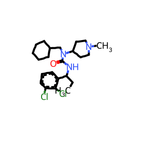 CCC(NC(=O)N(CC1CCCCC1)C1CCN(C)CC1)c1cccc(Cl)c1Cl